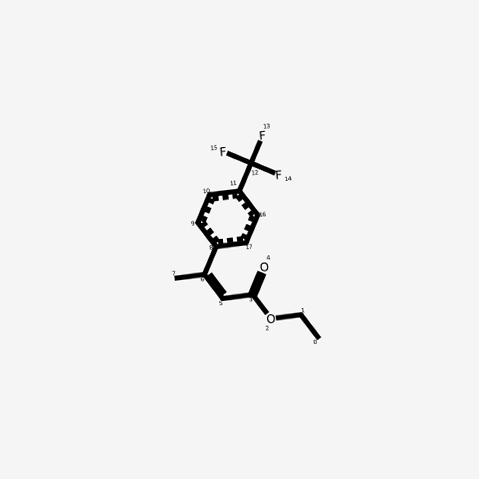 CCOC(=O)/C=C(/C)c1ccc(C(F)(F)F)cc1